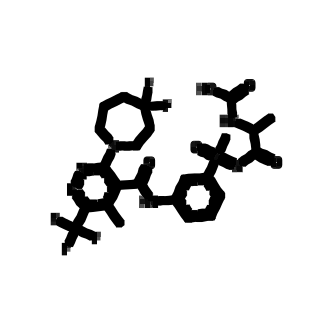 Cc1c(C(F)(F)F)nnc(N2CCCC(F)(F)CC2)c1C(=O)Nc1cccc(S(C)(=O)=NC(=O)C(C)NC(=O)O)c1